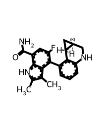 Cc1[nH]c2c(C(N)=O)cc(F)c(-c3cccc4c3[C@H]3C[C@H]3CN4)c2c1C